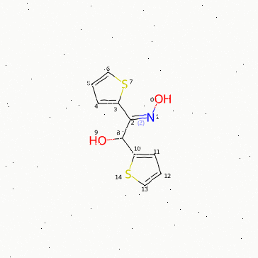 O/N=C(\c1cccs1)C(O)c1cccs1